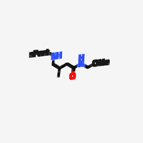 CCCCCNCC(C)CC(=O)NCOC